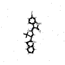 CC1(C)O/C(=C2/C(=O)Nc3cc(F)ccc32)C=C1c1cc2ccccc2o1